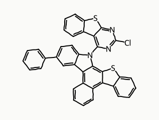 Clc1nc(-n2c3ccc(-c4ccccc4)cc3c3c4ccccc4c4c5ccccc5sc4c32)c2c(n1)sc1ccccc12